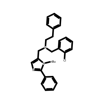 CCCCn1c(CN(CCc2ccccc2)Cc2ccccc2Cl)cnc1-c1ccccc1